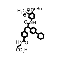 CCCCOc1ccc(NC(=O)C(Cc2ccc(C(=O)NCCC(=O)O)cc2)c2ccc(C3CCCCC3)cc2)cc1S(C)(=O)=O